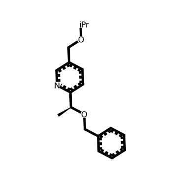 CC(C)OCc1ccc([C@H](C)OCc2ccccc2)nc1